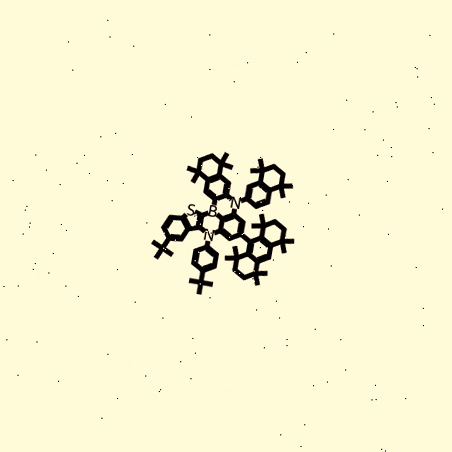 CC(C)(C)c1ccc(N2c3cc(-c4c5c(cc6c4C(C)(C)CCC6(C)C)C(C)(C)CCC5(C)C)cc4c3B(c3cc5c(cc3N4c3ccc4c(c3)C(C)(C)CCC4(C)C)C(C)(C)CCC5(C)C)c3sc4ccc(C(C)(C)C)cc4c32)cc1